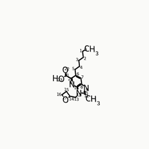 CCCCCCc1cc2nc(C)n(CC3CCO3)c2nc1C(=O)O